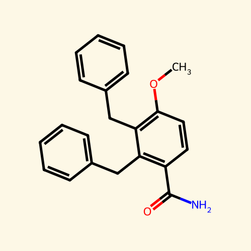 COc1ccc(C(N)=O)c(Cc2ccccc2)c1Cc1ccccc1